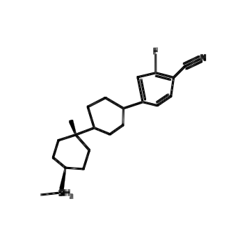 C[SiH2][C@H]1CC[C@](C)(C2CCC(c3ccc(C#N)c(F)c3)CC2)CC1